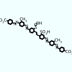 Cc1cc(N=Nc2ccc(C=Cc3ccc(N=Nc4ccc(N=Nc5ccc(C(=O)O)cc5)c(C)c4)cc3S(=O)(=O)O)c(SOO)c2)ccc1N=Nc1ccc(C(=O)O)cc1